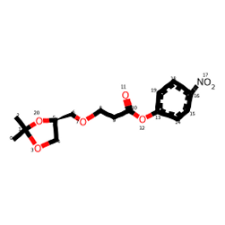 CC1(C)OC[C@H](COCCC(=O)Oc2ccc([N+](=O)[O-])cc2)O1